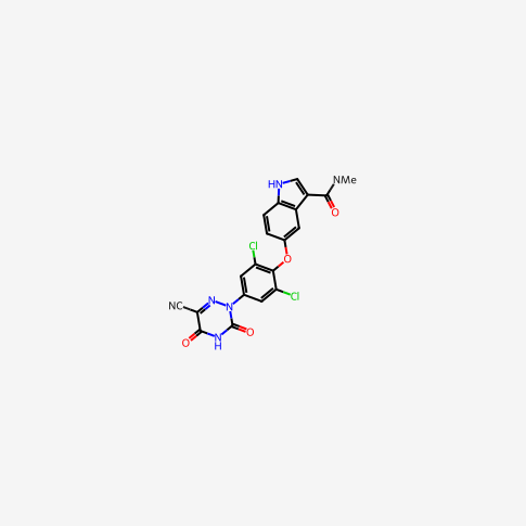 CNC(=O)c1c[nH]c2ccc(Oc3c(Cl)cc(-n4nc(C#N)c(=O)[nH]c4=O)cc3Cl)cc12